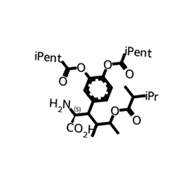 CCCC(C)C(=O)Oc1ccc(C(C(C)C(C)OC(=O)C(C)C(C)C)[C@H](N)C(=O)O)cc1OC(=O)C(C)CCC